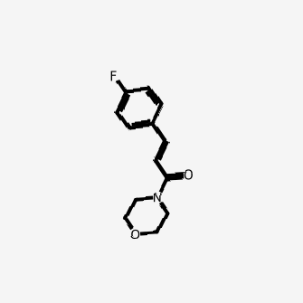 O=C(C=Cc1ccc(F)cc1)N1CCOCC1